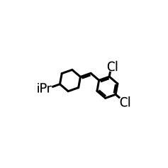 CC(C)C1CCC(=Cc2ccc(Cl)cc2Cl)CC1